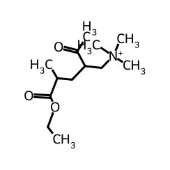 CCOC(=O)C(C)CC(C[N+](C)(C)C)C(C)=O